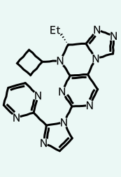 CC[C@@H]1c2nncn2-c2cnc(-n3ccnc3-c3ncccn3)nc2N1C1CCC1